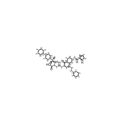 O=C(O)C(CNCc1cn(CCc2ccccc2)c2cc(CNc3ncc[nH]3)ccc2c1=O)NS(=O)(=O)c1ccc(-c2ccccc2)cc1